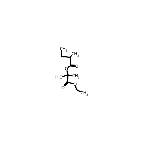 CCOC(=O)C(C)(C)OC(=O)C(C)CC